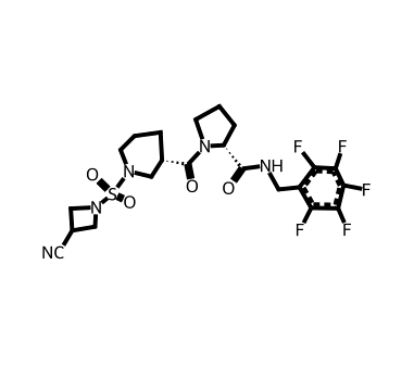 N#CC1CN(S(=O)(=O)N2CCC[C@H](C(=O)N3CCC[C@@H]3C(=O)NCc3c(F)c(F)c(F)c(F)c3F)C2)C1